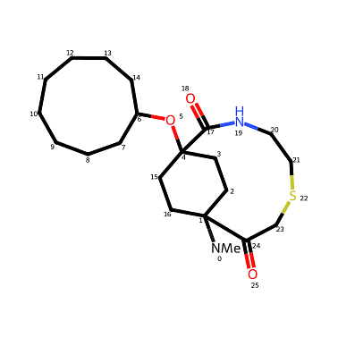 CNC12CCC(OC3CCCCCCCC3)(CC1)C(=O)NCCSCC2=O